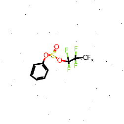 O=S(Oc1ccccc1)OC(F)(F)C(F)(F)C(F)(F)F